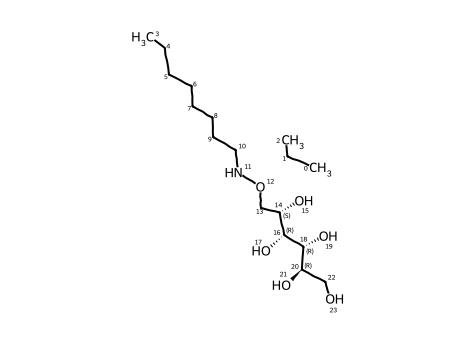 CCC.CCCCCCCCNOC[C@H](O)[C@@H](O)[C@H](O)[C@H](O)CO